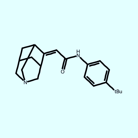 CC(C)(C)c1ccc(NC(=O)C=C2C3CC4CC2CN(C4)C3)cc1